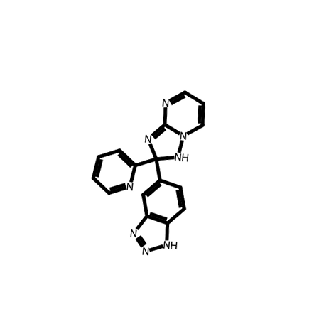 C1=CN2NC(c3ccc4[nH]nnc4c3)(c3ccccn3)N=C2N=C1